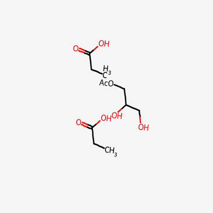 CC(=O)OCC(O)CO.CCC(=O)O.CCC(=O)O